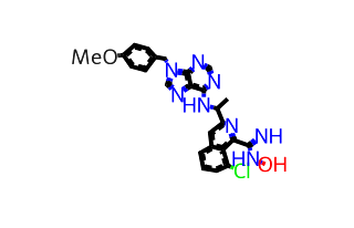 COc1ccc(Cn2cnc3c(NC(C)c4cc5cccc(Cl)c5c(C(=N)NO)n4)ncnc32)cc1